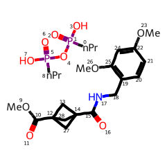 CCCP(=O)(O)OP(=O)(O)CCC.COC(=O)C12CC(C(=O)NCc3ccc(OC)cc3OC)(C1)C2